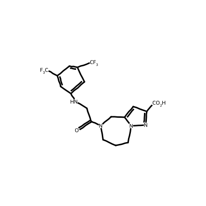 O=C(O)c1cc2n(n1)CCCN(C(=O)CNc1cc(C(F)(F)F)cc(C(F)(F)F)c1)C2